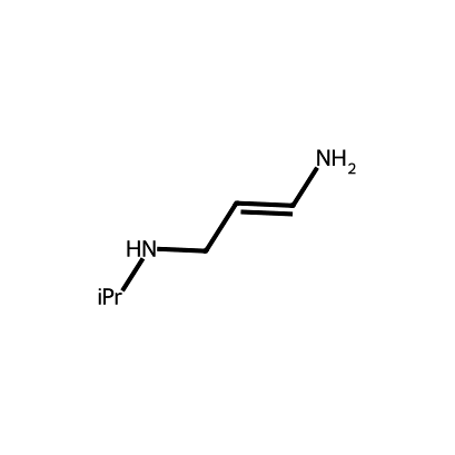 CC(C)NC/C=C/N